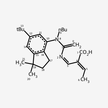 C=C(/N=C\C(=C/C)C(=O)O)N(CCCC)c1cc(C(C)(C)C)cc2c1CCC2(C)C